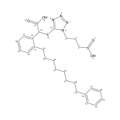 O=C(O)CCCn1nnnc1SC(C(=O)O)c1ccccc1CCCCCCCCc1ccccc1